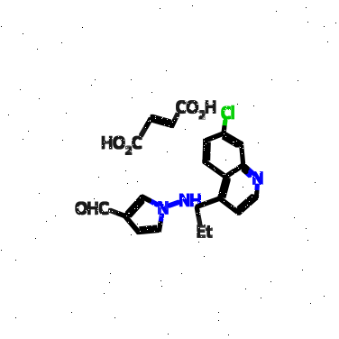 CCC(Nn1ccc(C=O)c1)c1ccnc2cc(Cl)ccc12.O=C(O)C=CC(=O)O